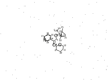 CC(C)[Si](OCC(OC1CCCCO1)c1cccnc1)(C(C)C)C(C)C